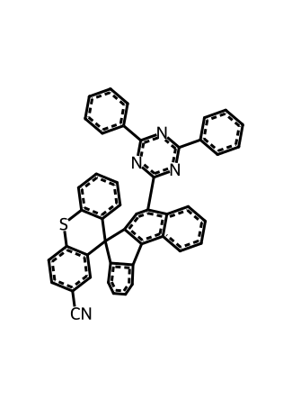 N#Cc1ccc2c(c1)C1(c3ccccc3S2)c2ccccc2-c2c1cc(-c1nc(-c3ccccc3)nc(-c3ccccc3)n1)c1ccccc21